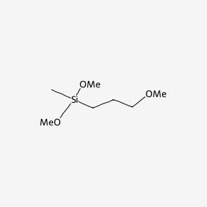 [CH2]OCCC[Si](C)(OC)OC